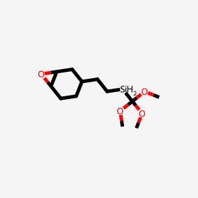 COC(OC)(OC)[SiH2]CCC1CCC2OC2C1